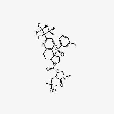 CC(C)(O)CN1C(=O)[C@H](F)C[C@H]1C(=O)N1CCC2(S(=O)(=O)c3cccc(F)c3)c3ccc(C(F)(C(F)(F)F)C(F)(F)F)nc3CCC12